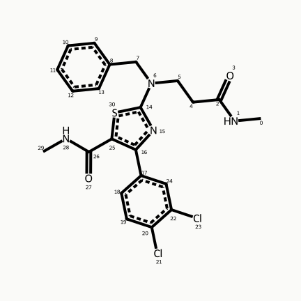 CNC(=O)CCN(Cc1ccccc1)c1nc(-c2ccc(Cl)c(Cl)c2)c(C(=O)NC)s1